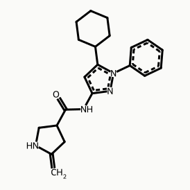 C=C1CC(C(=O)Nc2cc(C3CCCCC3)n(-c3ccccc3)n2)CN1